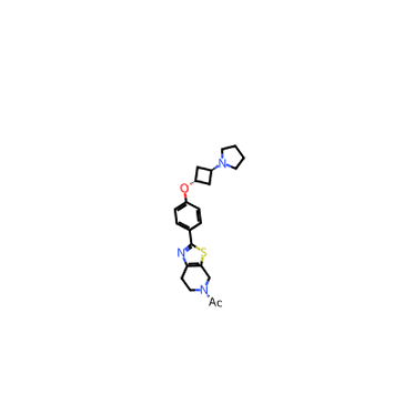 CC(=O)N1CCc2nc(-c3ccc(O[C@H]4C[C@H](N5CCCC5)C4)cc3)sc2C1